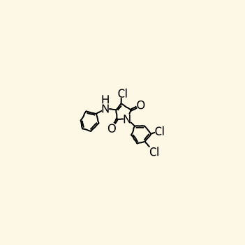 O=C1C(Cl)=C(Nc2ccccc2)C(=O)N1c1ccc(Cl)c(Cl)c1